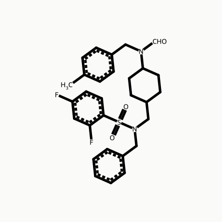 Cc1ccc(CN(C=O)C2CCC(CN(Cc3ccccc3)S(=O)(=O)c3ccc(F)cc3F)CC2)cc1